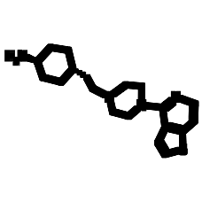 N[C@H]1CC[C@H](CCN2CCN(c3nccc4sccc34)CC2)CC1